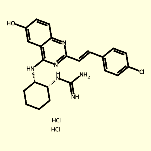 Cl.Cl.N=C(N)N[C@@H]1CCCC[C@@H]1Nc1nc(C=Cc2ccc(Cl)cc2)nc2ccc(O)cc12